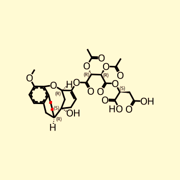 COc1ccc2c3c1O[C@@H]1C[C@@](O)(CC=C1OC(=O)[C@H](OC(C)=O)[C@@H](OC(C)=O)C(=O)O[C@@H](CC(=O)O)C(=O)O)[C@H](CCCC3)C2